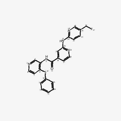 O=C(Nc1cnccc1Sc1ccccc1)c1ccnc(Nc2ccc(CF)cn2)c1